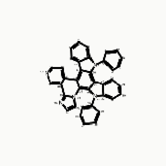 c1ccc(-n2c3ccccc3c3c4c5ccncc5c5nccn5c4c4c(c5ccccc5n4-c4ccccc4)c32)cc1